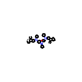 CCC1(CC)c2ccccc2-c2ccc(N(c3ccccc3)c3ccc4c(c3)c3cc(N(c5ccccc5)c5ccc6c(c5)C(CC)(CC)c5ccccc5-6)ccc3n4-c3ccccc3)cc21